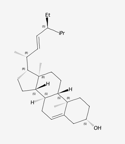 CC[C@H](C=C[C@@H](C)[C@H]1CC[C@H]2[C@@H]3CC=C4C[C@@H](O)CC[C@]4(C)[C@H]3CC[C@]12C)C(C)C